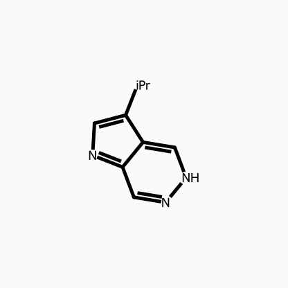 CC(C)c1cnc2cn[nH]cc1-2